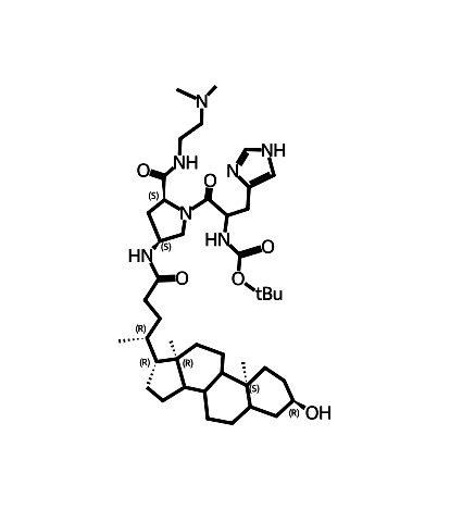 C[C@H](CCC(=O)N[C@H]1C[C@@H](C(=O)NCCN(C)C)N(C(=O)C(Cc2c[nH]cn2)NC(=O)OC(C)(C)C)C1)[C@H]1CCC2C3CCC4C[C@H](O)CC[C@]4(C)C3CC[C@@]21C